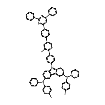 Cc1ccc(N(c2ccccc2)c2ccc3c(c2)c2cc(N(c4ccccc4)c4ccc(C)cc4)ccc2n3-c2ccc(-c3ccc(-c4ccc(-c5cc(-c6ccccc6)nc(-c6ccccc6)n5)cc4)cc3C)cc2)cc1